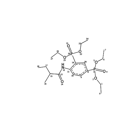 CCOP(=O)(OCC)c1ccc(NC(=O)C(C)CC)c(P(=O)(OCC)OCC)c1